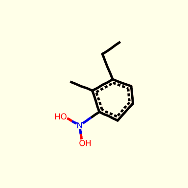 CCc1cccc(N(O)O)c1C